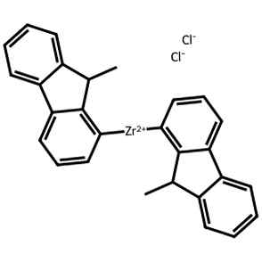 CC1c2ccccc2-c2ccc[c]([Zr+2][c]3cccc4c3C(C)c3ccccc3-4)c21.[Cl-].[Cl-]